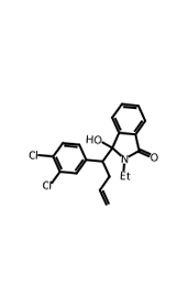 C=CCC(c1ccc(Cl)c(Cl)c1)C1(O)c2ccccc2C(=O)N1CC